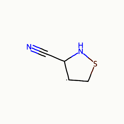 N#CC1[CH]CSN1